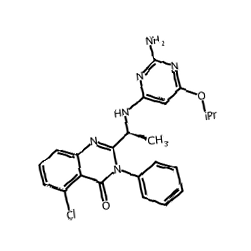 CC(C)Oc1cc(N[C@@H](C)c2nc3cccc(Cl)c3c(=O)n2-c2ccccc2)nc(N)n1